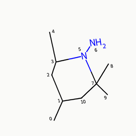 CC1CC(C)N(N)C(C)(C)C1